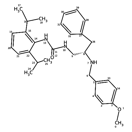 COc1ccc(CN[C@H](CNC(=O)Nc2c(C(C)C)cccc2C(C)C)Cc2ccccc2)cc1